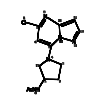 CC(=O)NC1CCN(c2cc(Cl)nc3ccnn23)C1